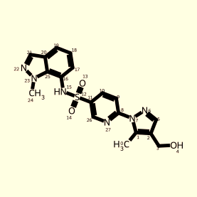 Cc1c(CO)cnn1-c1ccc(S(=O)(=O)Nc2cccc3cnn(C)c23)cn1